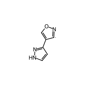 [c]1nocc1-c1cc[nH]n1